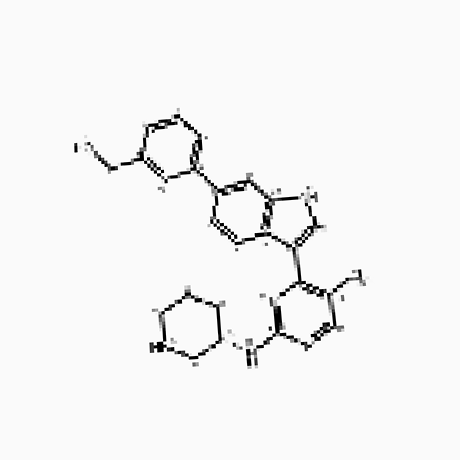 OCc1cccc(-c2ccc3c(-c4nc(N[C@H]5CCCNC5)ncc4C(F)(F)F)c[nH]c3c2)n1